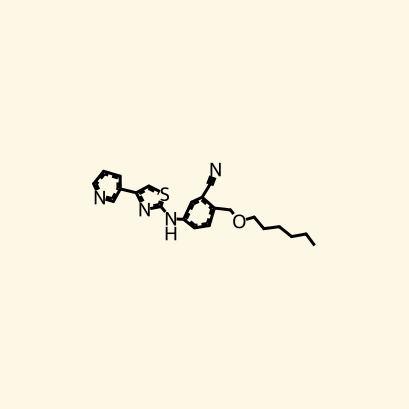 CCCCCCOCc1ccc(Nc2nc(-c3cccnc3)cs2)cc1C#N